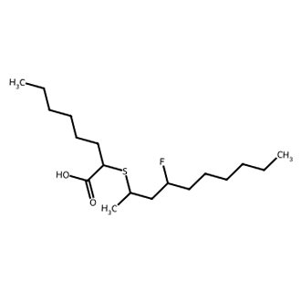 CCCCCCC(F)CC(C)SC(CCCCCC)C(=O)O